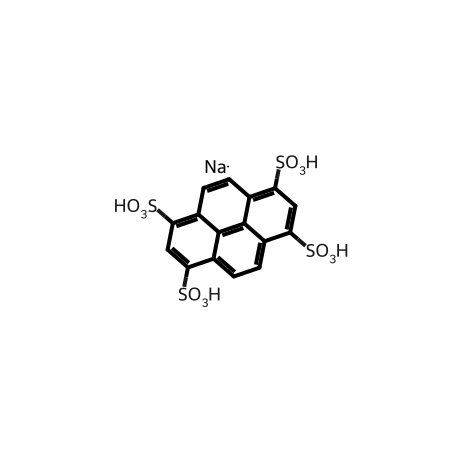 O=S(=O)(O)c1cc(S(=O)(=O)O)c2ccc3c(S(=O)(=O)O)cc(S(=O)(=O)O)c4ccc1c2c43.[Na]